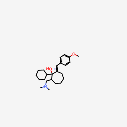 COc1ccc(/C=C2\CCCCC(CN(C)C)C2(O)C2CCCCC2)cc1